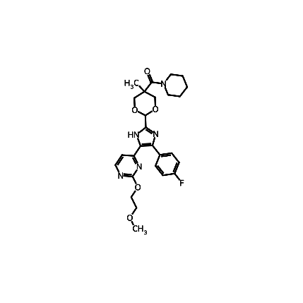 COCCOc1nccc(-c2[nH]c(C3OCC(C)(C(=O)N4CCCCC4)CO3)nc2-c2ccc(F)cc2)n1